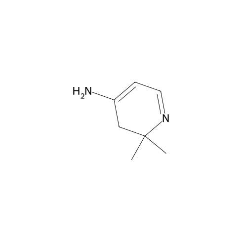 CC1(C)CC(N)=CC=N1